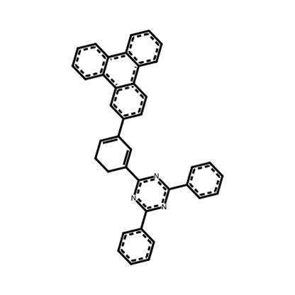 C1=C(c2ccc3c4ccccc4c4ccccc4c3c2)C=C(c2nc(-c3ccccc3)nc(-c3ccccc3)n2)CC1